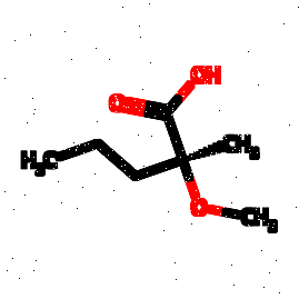 CCC[C@](C)(OC)C(=O)O